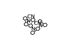 N#Cc1cccc(-n2c3ccccc3c3cccc(C#N)c32)c1-c1cccc(-n2c3ccccc3c3ccc(-n4c5ccccc5c5ccccc54)cc32)c1